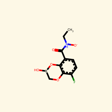 CC[NH+]([O-])C(=O)c1ccc(F)c2c1OB(O)CO2